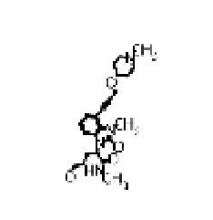 CNC(=O)C(CCC=O)n1c(=O)n(C)c2c(C#CCOC3CCN(C)CC3)cccc21